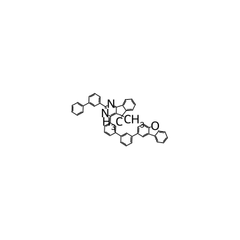 CC1(C)c2ccccc2-c2nc(-c3cccc(-c4ccccc4)c3)nc(-c3cccc(-c4cccc(-c5ccc6oc7ccccc7c6c5)c4)c3)c21